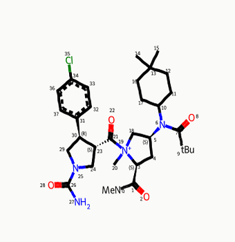 CNC(=O)[C@@H]1C[C@H](N(C(=O)C(C)(C)C)C2CCC(C)(C)CC2)C[N+]1(C)C(=O)[C@@H]1CN(C(N)=O)C[C@H]1c1ccc(Cl)cc1